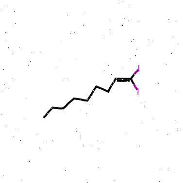 CCCCCCCC=C(I)I